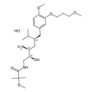 COCCCOc1cc(C[C@@H](C[C@H](N)[C@@H](O)CNC(=O)C(C)(C)OC)C(C)C)ccc1OC.Cl